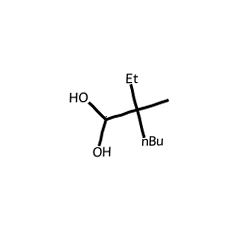 CCCCC(C)(CC)[C](O)O